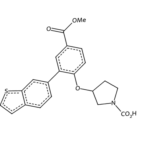 COC(=O)c1ccc(OC2CCN(C(=O)O)C2)c(-c2ccc3ccsc3c2)c1